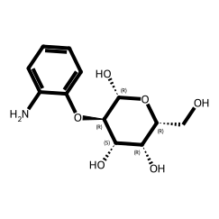 Nc1ccccc1O[C@@H]1[C@@H](O)[C@@H](O)[C@@H](CO)O[C@H]1O